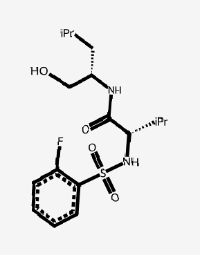 CC(C)C[C@@H](CO)NC(=O)[C@@H](NS(=O)(=O)c1ccccc1F)C(C)C